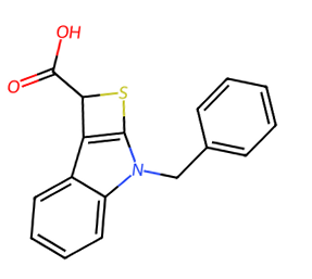 O=C(O)C1Sc2c1c1ccccc1n2Cc1ccccc1